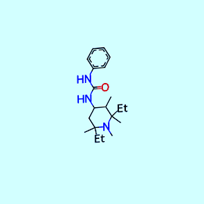 CCC1(C)CC(NC(=O)Nc2ccccc2)C(C)C(C)(CC)N1C